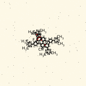 Cc1nc(C)nc(-c2ccc3c(c2)c2cc(-c4nc(C)nc(C)n4)ccc2n3-c2ccc(-c3ccc(C#N)cc3C(F)(F)F)cc2-c2ccc(C#N)cc2-n2c3ccc(-c4nc(C)nc(C)n4)cc3c3cc(-c4nc(C)nc(C)n4)ccc32)n1